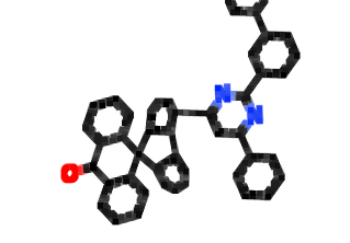 O=C1c2ccccc2C2(c3ccccc31)c1ccccc1-c1c(-c3cc(-c4ccccc4)nc(-c4cccc(-c5ccccc5)c4)n3)cccc12